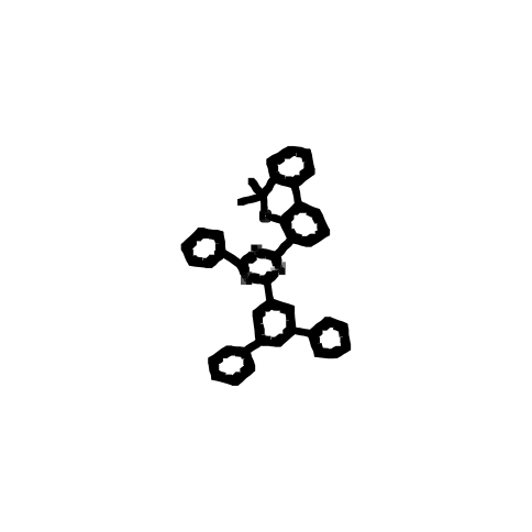 CC1(C)Oc2c(-c3nc(-c4ccccc4)nc(-c4cc(-c5ccccc5)cc(-c5ccccc5)c4)n3)cccc2-c2ccccc21